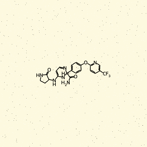 NC(=O)[C@]1(c2ccc(Oc3ccc(C(F)(F)F)cn3)cc2)N=CC=C(NC2CCNC2=O)N1